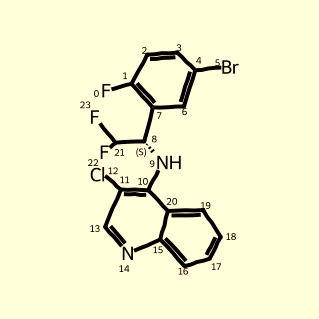 Fc1ccc(Br)cc1[C@H](Nc1c(Cl)cnc2ccccc12)C(F)F